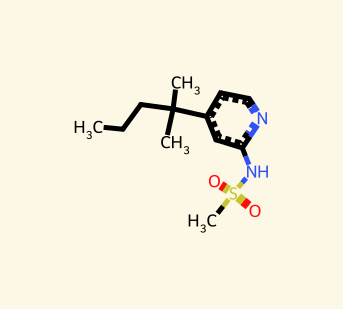 CCCC(C)(C)c1ccnc(NS(C)(=O)=O)c1